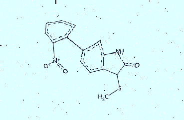 CSC1C(=O)Nc2cc(-c3ccccc3[N+](=O)[O-])ccc21